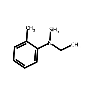 CCN([SiH3])c1ccccc1C